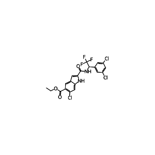 CCOC(=O)c1cc2cc(C(=O)NC(c3cc(Cl)cc(Cl)c3)C(F)(F)F)[nH]c2cc1Cl